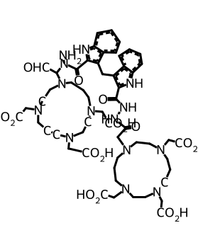 NN(C(=O)c1[nH]c2ccccc2c1Cc1c(C(=O)NNC(=O)CN2CCCN(CC(=O)O)CCN(CC(=O)O)CCCN(CC(=O)O)CC2)[nH]c2ccccc12)C(C=O)N1CCCN(CC(=O)O)CCN(CC(=O)O)CCCN(CC(=O)O)CC1